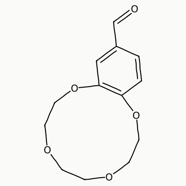 O=Cc1ccc2c(c1)OCCOCCOCCO2